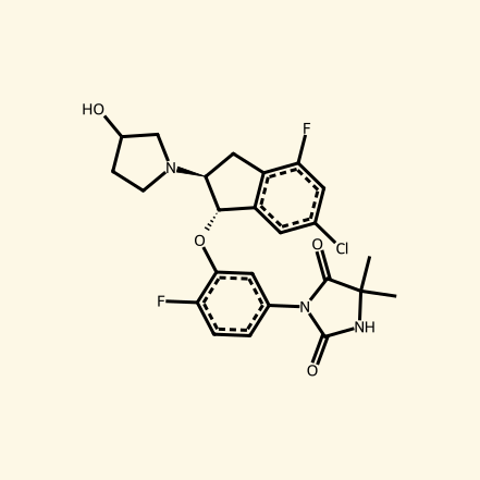 CC1(C)NC(=O)N(c2ccc(F)c(O[C@H]3c4cc(Cl)cc(F)c4C[C@@H]3N3CCC(O)C3)c2)C1=O